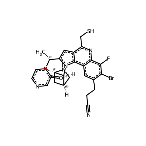 C[C@H](c1cc2c(CS)nc3c(F)c(Br)c(CCC#N)cc3c2n1[C@H]1[C@H]2CN[C@@H]1C2)n1ccncc1=O